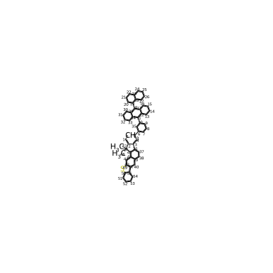 C/C=C1\C(=C/Cc2cccc(-c3c4ccccc4c(-c4cccc5ccccc45)c4ccccc34)c2)c2ccc3cc4c(cc3c2C1(C)C)sc1ccccc14